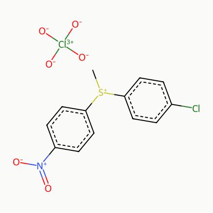 C[S+](c1ccc(Cl)cc1)c1ccc([N+](=O)[O-])cc1.[O-][Cl+3]([O-])([O-])[O-]